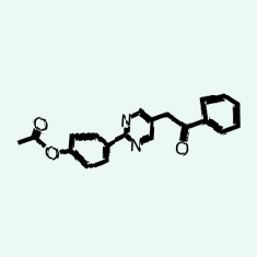 CC(=O)Oc1ccc(-c2ncc(CC(=O)c3ccccc3)cn2)cc1